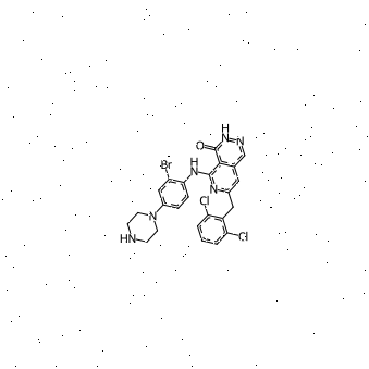 O=c1[nH]ncc2cc(Cc3c(Cl)cccc3Cl)nc(Nc3ccc(N4CCNCC4)cc3Br)c12